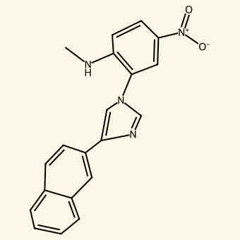 CNc1ccc([N+](=O)[O-])cc1-n1cnc(-c2ccc3ccccc3c2)c1